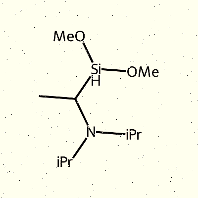 CO[SiH](OC)C(C)N(C(C)C)C(C)C